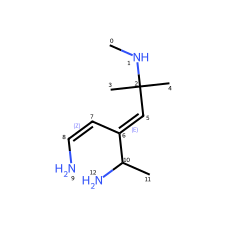 CNC(C)(C)/C=C(\C=C/N)C(C)N